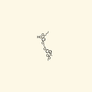 CCCCC(=O)c1ccc(OCCCOc2ccc3c(ccn3C(C)C(=O)OCC)c2)cc1O